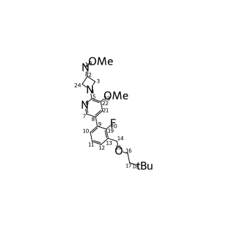 CON=C1CN(c2ncc(-c3cccc(COCCC(C)(C)C)c3F)cc2OC)C1